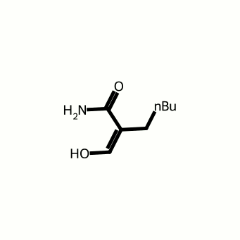 CCCCCC(=CO)C(N)=O